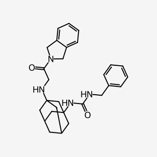 O=C(NCc1ccccc1)NC12CC3CC(CC(NCC(=O)N4Cc5ccccc5C4)(C3)C1)C2